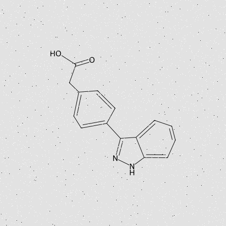 O=C(O)Cc1ccc(-c2n[nH]c3ccccc23)cc1